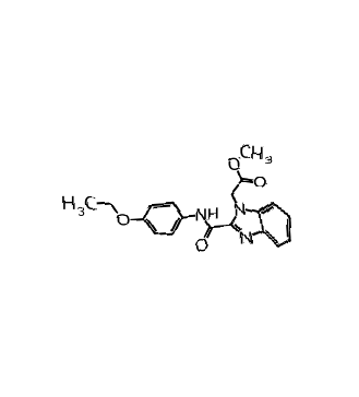 CCOc1ccc(NC(=O)c2nc3ccccc3n2CC(=O)OC)cc1